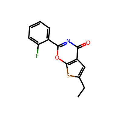 CCc1cc2c(=O)nc(-c3ccccc3F)oc2s1